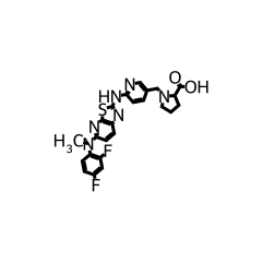 CN(c1ccc2nc(Nc3ccc(CN4CCCC4C(=O)O)cn3)sc2n1)c1ccc(F)cc1F